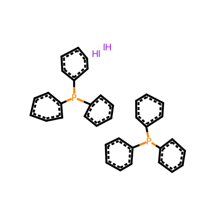 I.I.c1ccc(P(c2ccccc2)c2ccccc2)cc1.c1ccc(P(c2ccccc2)c2ccccc2)cc1